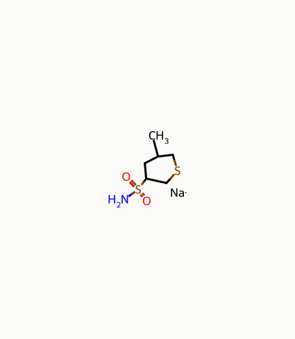 CC1CSCC(S(N)(=O)=O)C1.[Na]